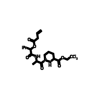 C=CCC(=O)OC(C(=O)NC(C)C(=O)N1CCCC(C(=O)OCC(Cl)(Cl)Cl)N1)C(C)C